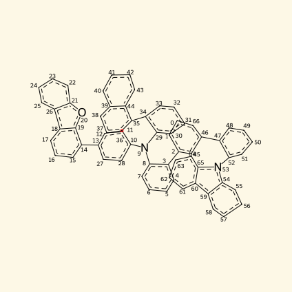 c1cc(-c2ccccc2N(c2ccc(-c3cccc4c3oc3ccccc34)cc2)c2ccccc2-c2cccc3ccccc23)cc(-c2ccccc2-n2c3ccccc3c3ccccc32)c1